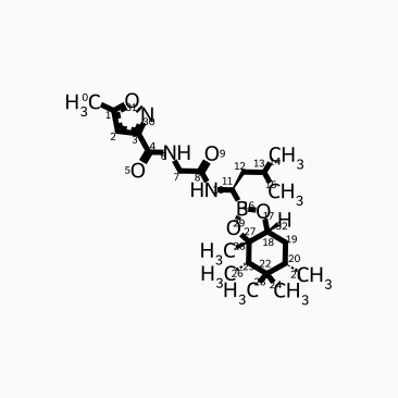 Cc1cc(C(=O)NCC(=O)N[C@@H](CC(C)C)B2O[C@@H]3C[C@H](C)C(C)(C)[C@H](C)[C@]3(C)O2)no1